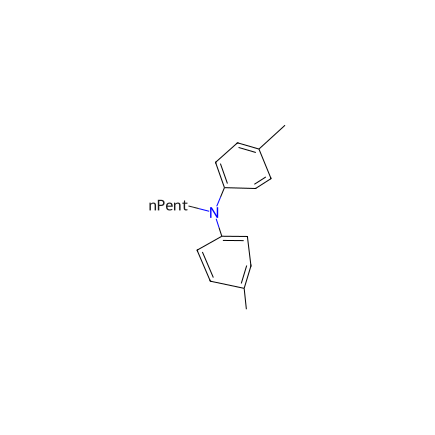 CCCCCN(c1ccc(C)cc1)c1ccc(C)cc1